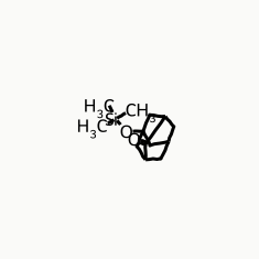 C[Si](C)(C)OC12CC3CC(C1)C(=O)C(C3)C2